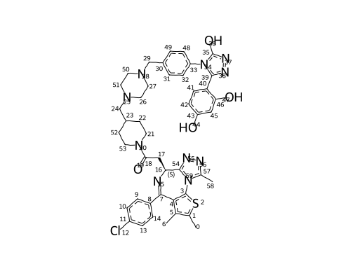 Cc1sc2c(c1C)C(c1ccc(Cl)cc1)=N[C@@H](CC(=O)N1CCC(CN3CCN(Cc4ccc(-n5c(O)nnc5-c5ccc(O)cc5O)cc4)CC3)CC1)c1nnc(C)n1-2